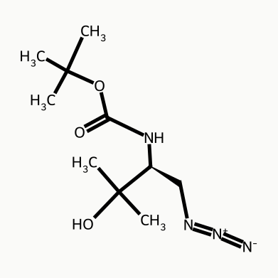 CC(C)(C)OC(=O)N[C@@H](CN=[N+]=[N-])C(C)(C)O